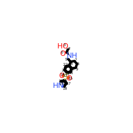 O=C(CO)NCC1CCCc2cc(S(=O)(=O)c3cc[nH]c3)ccc21